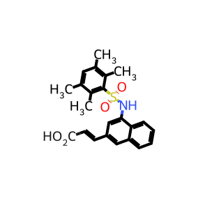 Cc1cc(C)c(C)c(S(=O)(=O)Nc2cc(/C=C/C(=O)O)cc3ccccc23)c1C